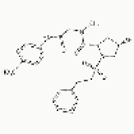 CN(CC(=O)Nc1ccc(C(=O)O)cc1)C(=O)[C@@H]1C[C@@H](S)CN1S(=O)(=O)CCc1ccccc1